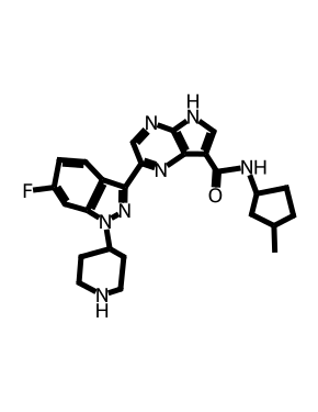 CC1CCC(NC(=O)c2c[nH]c3ncc(-c4nn(C5CCNCC5)c5cc(F)ccc45)nc23)C1